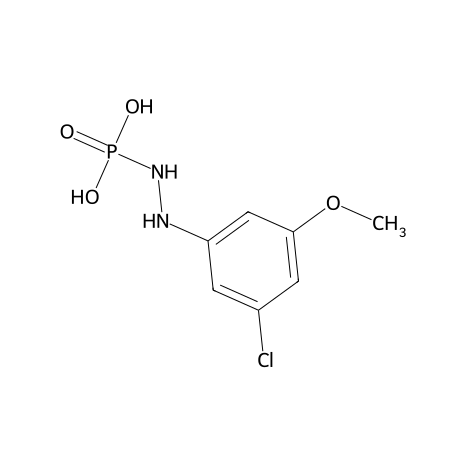 COc1cc(Cl)cc(NNP(=O)(O)O)c1